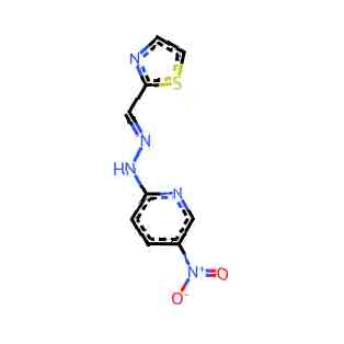 O=[N+]([O-])c1ccc(NN=Cc2nccs2)nc1